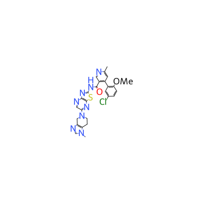 COc1ccc(Cl)cc1-c1cc(C)ncc1C(=O)Nc1nc2ncc(N3CCc4c(ncn4C)C3)nc2s1